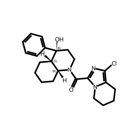 O=C(c1nc(Cl)c2n1CCCC2)N1CC[C@](O)(c2ccccc2)[C@H]2CCCC[C@H]21